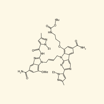 CCn1nc(C)cc1C(=O)Nc1nc2cc(C(N)=O)cc(OC)c2n1CC=CCn1c2nc(-c3cc(C)nn3CC)ncc2c2cc(C(N)=O)cc(OCCCNC(=O)OC(C)(C)C)c21